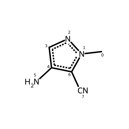 Cn1ncc(N)c1C#N